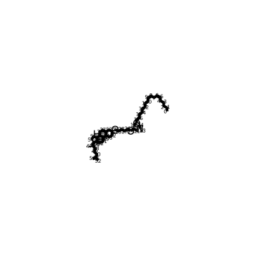 CCCCC/C=C\C/C=C\CCCCCCCCOC[C@@H](CN(C)C)OCCCCO[C@H]1CC[C@@]2(C)C(=CC[C@@H]3C2CC[C@]2(C)[C@@H]([C@H](C)CCCC(C)C)CC[C@@H]32)C1